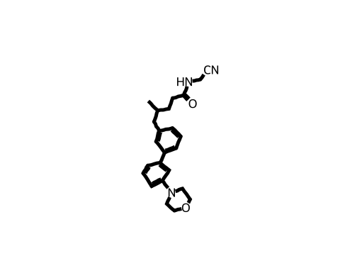 CC(CCC(=O)NCC#N)Cc1cccc(-c2cccc(N3CCOCC3)c2)c1